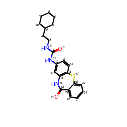 O=C(NCCC1CCCCC1)Nc1ccc2c(c1)NC(=O)c1ccccc1S2